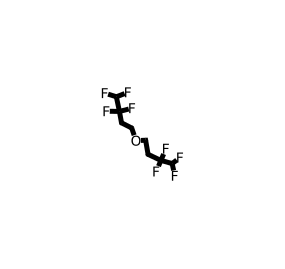 FC(F)C(F)(F)CCOCCC(F)(F)C(F)F